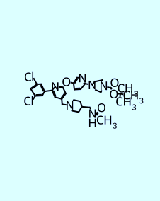 CC(=O)NCC1CCN(Cc2cc(Oc3ccc(N4CCN(C(=O)OC(C)(C)C)CC4)nc3)nc(-c3cc(Cl)cc(Cl)c3)c2)CC1